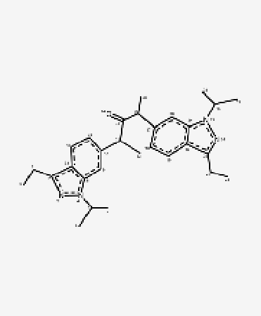 CCc1nn(C(C)C)c2cc(C(C)C(=O)C(C)c3ccc4c(CC)nn(C(C)C)c4c3)ccc12